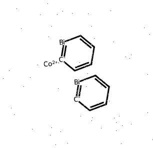 [C-]1=[Bi][CH]=CC=C1.[C-]1=[Bi][CH]=CC=C1.[Co+2]